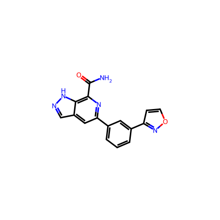 NC(=O)c1nc(-c2cccc(-c3ccon3)c2)cc2cn[nH]c12